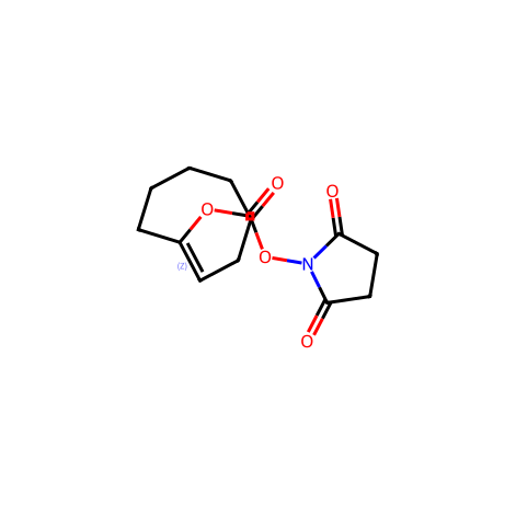 O=C(O/C1=C\CCCCCC1)ON1C(=O)CCC1=O